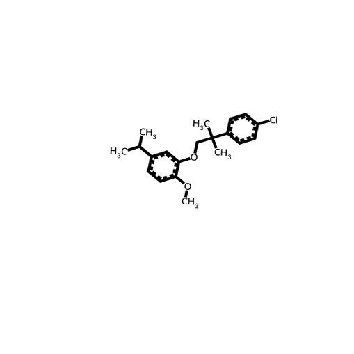 COc1ccc(C(C)C)cc1OCC(C)(C)c1ccc(Cl)cc1